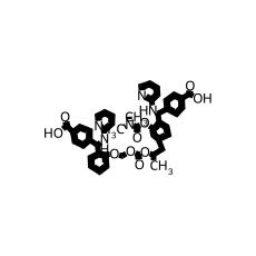 CC(Cc1ccc(C(Nc2ccccn2)c2ccc(C(=O)O)cc2)c(OC(=O)N(C)C)c1)OC(=O)OCOc1ccccc1C(Nc1ccccn1)c1ccc(C(=O)O)cc1